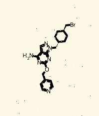 Nc1nc(OCc2ccncc2)nc2c1cnn2C[C@H]1CC[C@H](CBr)CC1